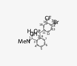 CNC(C)c1ccccc1C(C)c1ccc(Br)c(C(F)(F)F)c1